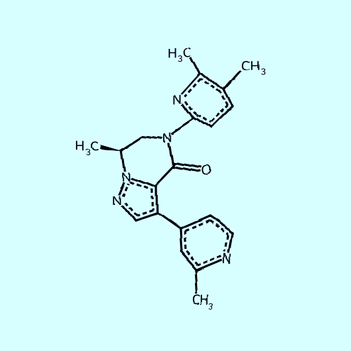 Cc1cc(-c2cnn3c2C(=O)N(c2ccc(C)c(C)n2)C[C@@H]3C)ccn1